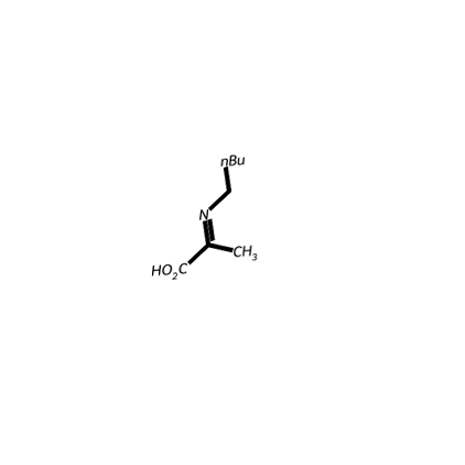 CCCCCN=C(C)C(=O)O